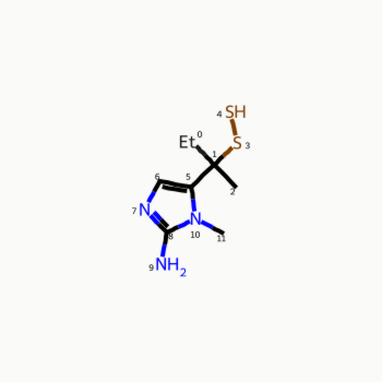 CCC(C)(SS)c1cnc(N)n1C